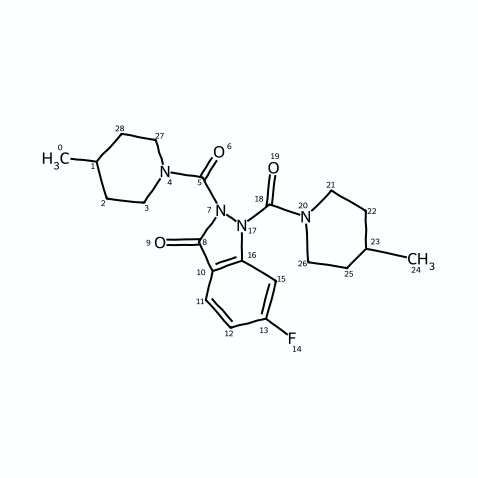 CC1CCN(C(=O)n2c(=O)c3ccc(F)cc3n2C(=O)N2CCC(C)CC2)CC1